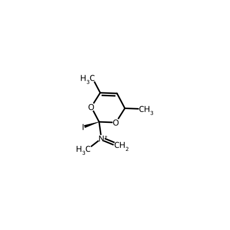 C=[N+](C)[C@]1(I)OC(C)=CC(C)O1